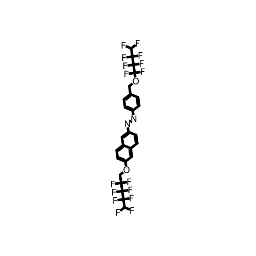 FC(F)C(F)(F)C(F)(F)C(F)(F)COc1ccc2cc(/N=N/c3ccc(COC(F)(F)C(F)(F)C(F)(F)C(F)F)cc3)ccc2c1